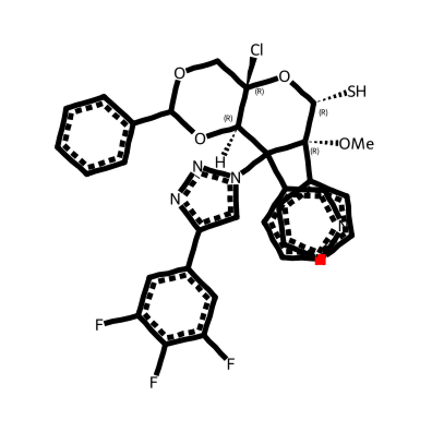 CO[C@@]1(c2ccncc2)[C@@H](S)O[C@@]2(Cl)COC(c3ccccc3)O[C@@H]2C1(c1cccnc1)n1cc(-c2cc(F)c(F)c(F)c2)nn1